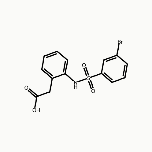 O=C(O)Cc1ccccc1NS(=O)(=O)c1cccc(Br)c1